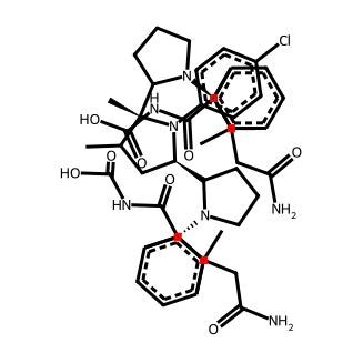 CC1C[C@H](C2CCCN2[C@@]2(C(=O)NC(=O)O)c3ccc(cc3)C2(C)CC(N)=O)N(c2ccc(Cl)cc2)[C@@]1(C)C1CCCN1[C@@]1(C(=O)NC(=O)O)c2ccc(cc2)C1(C)CC(N)=O